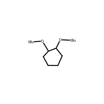 CC(C)(C)OC1CCCCC1OC(C)(C)C